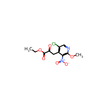 CCOC(=O)C(=O)Cc1c(Cl)cnc(OC)c1[N+](=O)[O-]